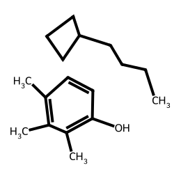 CCCCC1CCC1.Cc1ccc(O)c(C)c1C